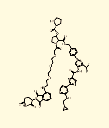 O=C1CCC(N2C(=O)c3cccc(NCCOCCOCCOCC(=O)N4CCC(OC(=O)[C@@H]5CCCN5)C4C(=O)NCc4ccc(-n5cc(NC(=O)c6coc(-c7ccnc(NCC8CC8)c7)n6)c(C(F)F)n5)cc4)c3C2=O)C(=O)N1